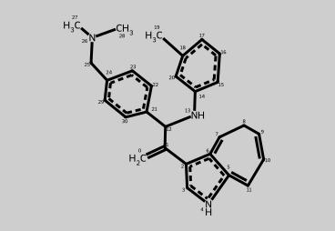 C=C(c1c[nH]c2c1=CCC=CC=2)C(Nc1cccc(C)c1)c1ccc(CN(C)C)cc1